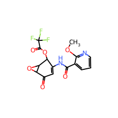 COc1ncccc1C(=O)NC1=CC(=O)C2OC2C1OC(=O)C(F)(F)F